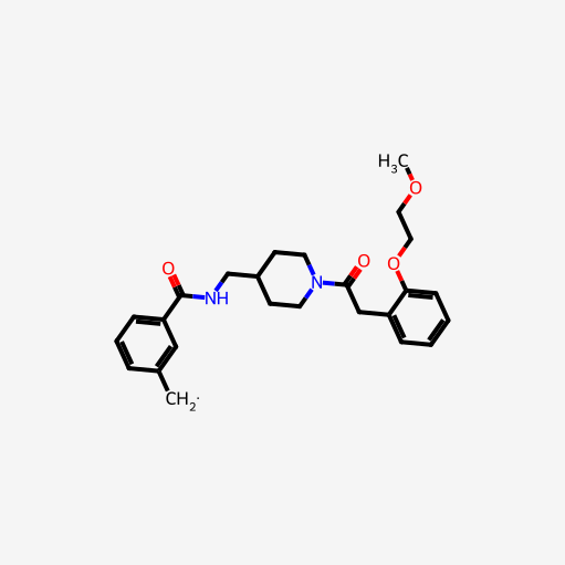 [CH2]c1cccc(C(=O)NCC2CCN(C(=O)Cc3ccccc3OCCOC)CC2)c1